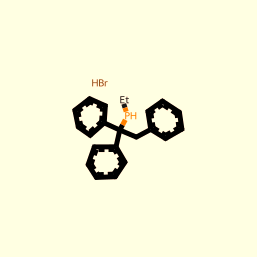 Br.CCPC(Cc1ccccc1)(c1ccccc1)c1ccccc1